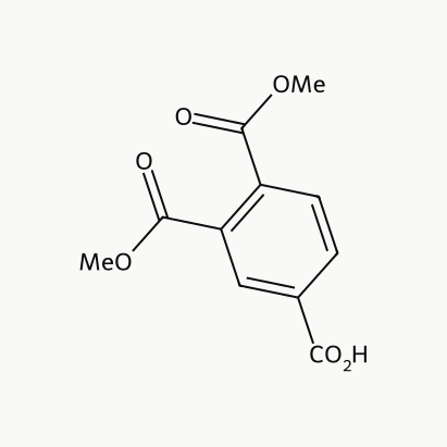 COC(=O)c1ccc(C(=O)O)cc1C(=O)OC